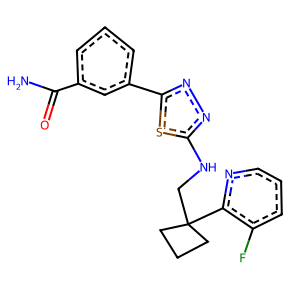 NC(=O)c1cccc(-c2nnc(NCC3(c4ncccc4F)CCC3)s2)c1